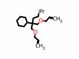 C=CCOCC(CCC(C)C)(COCC=C)C1CCCCC1